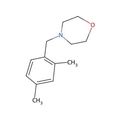 Cc1ccc(CN2CCOCC2)c(C)c1